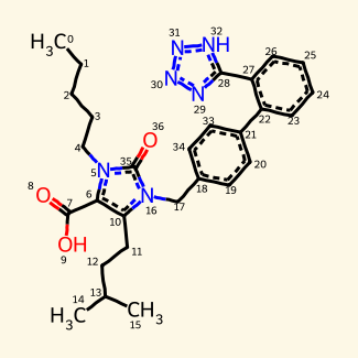 CCCCCn1c(C(=O)O)c(CCC(C)C)n(Cc2ccc(-c3ccccc3-c3nnn[nH]3)cc2)c1=O